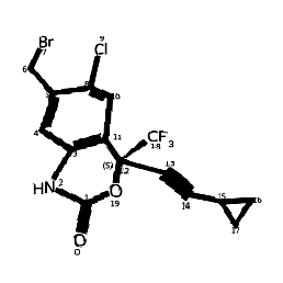 O=C1Nc2cc(CBr)c(Cl)cc2[C@@](C#CC2CC2)(C(F)(F)F)O1